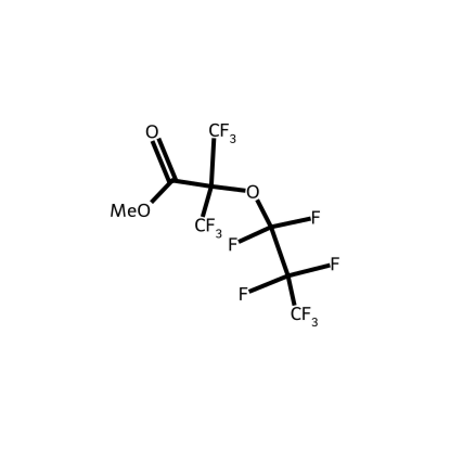 COC(=O)C(OC(F)(F)C(F)(F)C(F)(F)F)(C(F)(F)F)C(F)(F)F